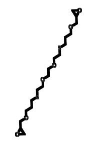 C(COCC1CO1)CSCCOCCOCCSCCCOCC1CO1